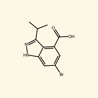 CC(C)c1n[nH]c2cc(Br)cc(C(=O)O)c12